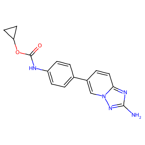 Nc1nc2ccc(-c3ccc(NC(=O)OC4CC4)cc3)cn2n1